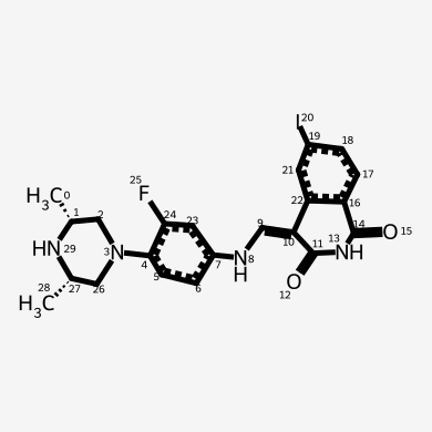 C[C@@H]1CN(c2ccc(N/C=C3\C(=O)NC(=O)c4ccc(I)cc43)cc2F)C[C@H](C)N1